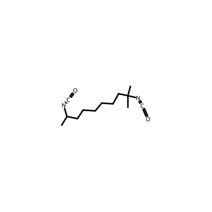 CC(CCCCCCC(C)(C)N=C=O)N=C=O